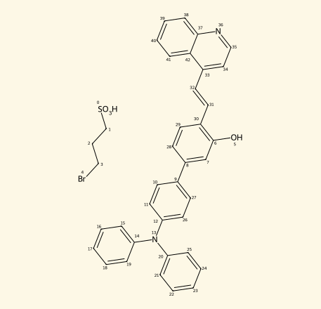 O=S(=O)(O)CCCBr.Oc1cc(-c2ccc(N(c3ccccc3)c3ccccc3)cc2)ccc1C=Cc1ccnc2ccccc12